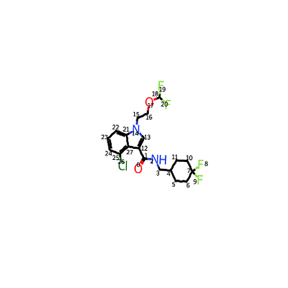 O=C(NCC1CCC(F)(F)CC1)c1cn(CCOC(F)F)c2cccc(Cl)c12